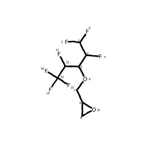 FC(F)C(F)C(OCC1CO1)C(F)C(F)(F)F